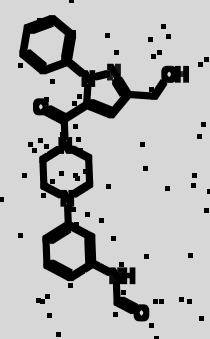 O=CNc1cccc(N2CCN(C(=O)c3cc(CO)nn3-c3ccccc3)CC2)c1